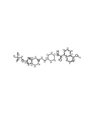 COc1nccc2c(C(=O)N[C@H]3CC[C@H](CCN4CCc5sc(OCC(C)(F)F)nc5C4)CC3)cccc12